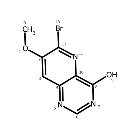 COc1cc2ncnc(O)c2nc1Br